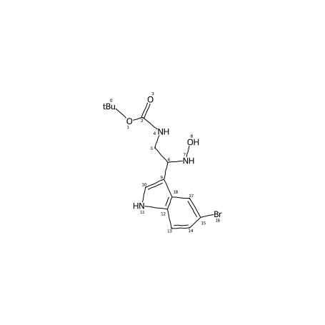 CC(C)(C)OC(=O)NCC(NO)c1c[nH]c2ccc(Br)cc12